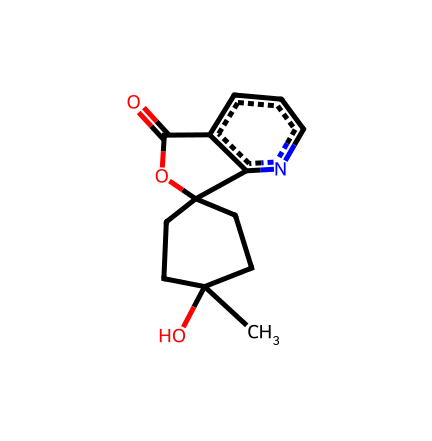 CC1(O)CCC2(CC1)OC(=O)c1cccnc12